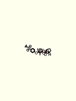 Cc1c(Oc2ccc(S(=O)(=O)C3CC3)cc2)ncnc1O[C@H]1CC2CC[C@@H](C1)N2C(=O)OC(C)C